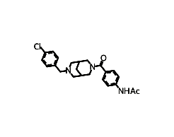 CC(=O)Nc1ccc(C(=O)N2CC3CC(CN(Cc4ccc(Cl)cc4)C3)C2)cc1